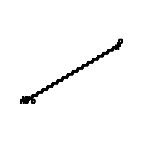 O=C=NCCCCCCCCCCCCCCCCCCCCCCCCCCCCCCCCCC(=O)NO